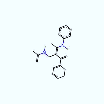 C=C(C1=CC=CCC1)/C(CN(C)C(=C)C)=C(/C)N(C)c1ccccc1